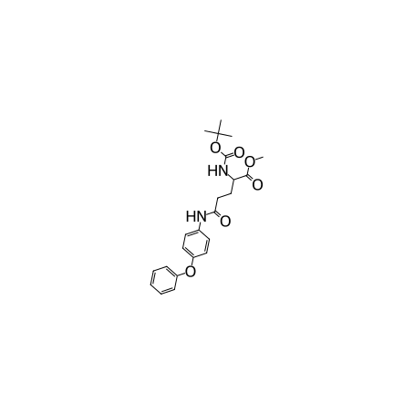 COC(=O)C(CCC(=O)Nc1ccc(Oc2ccccc2)cc1)NC(=O)OC(C)(C)C